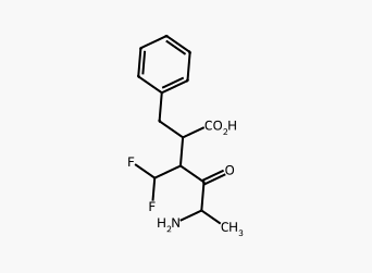 CC(N)C(=O)C(C(F)F)C(Cc1ccccc1)C(=O)O